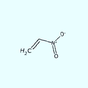 C=C[N+](=O)[O-]